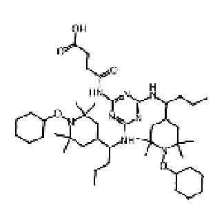 CCCC(Nc1nc(NC(=O)CCC(=O)O)nc(NC(CCC)C2CC(C)(C)N(OC3CCCCC3)C(C)(C)C2)n1)C1CC(C)(C)N(OC2CCCCC2)C(C)(C)C1